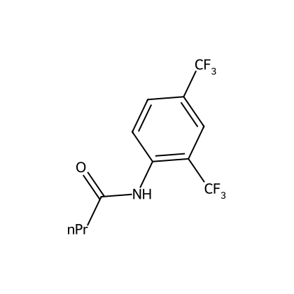 [CH2]CCC(=O)Nc1ccc(C(F)(F)F)cc1C(F)(F)F